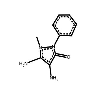 Cn1c(N)c(N)c(=O)n1-c1ccccc1